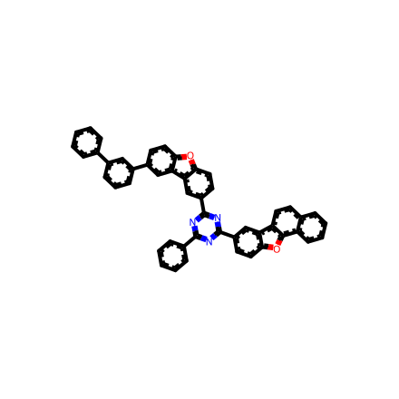 c1ccc(-c2cccc(-c3ccc4oc5ccc(-c6nc(-c7ccccc7)nc(-c7ccc8oc9c%10ccccc%10ccc9c8c7)n6)cc5c4c3)c2)cc1